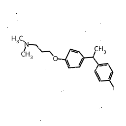 CC(c1ccc(I)cc1)c1ccc(OCCCN(C)C)cc1